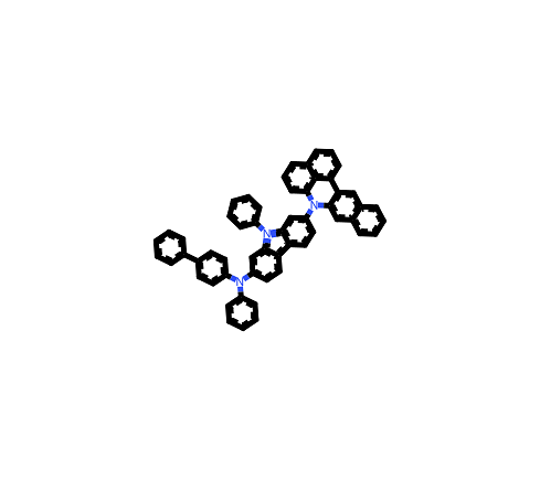 c1ccc(-c2ccc(N(c3ccccc3)c3ccc4c5ccc(N6c7cc8ccccc8cc7-c7cccc8cccc6c78)cc5n(-c5ccccc5)c4c3)cc2)cc1